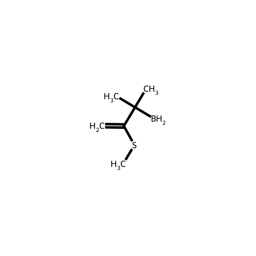 BC(C)(C)C(=C)SC